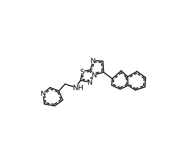 c1cncc(CNc2nn3c(-c4ccc5ccccc5c4)cnc3s2)c1